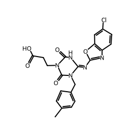 Cc1ccc(Cn2c(=O)n(CCC(=O)O)c(=O)[nH]/c2=N\c2nc3ccc(Cl)cc3o2)cc1